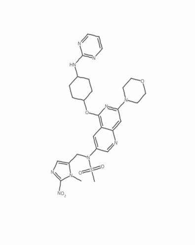 Cn1c(CN(c2cnc3cc(N4CCOCC4)nc(OC4CCC(Nc5ncccn5)CC4)c3c2)S(C)(=O)=O)cnc1[N+](=O)[O-]